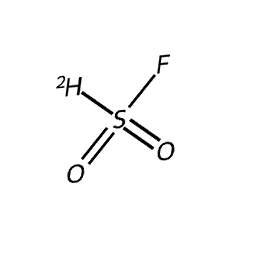 [2H]S(=O)(=O)F